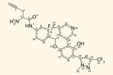 C#CCC(N)C(=O)Nc1ccc(COc2ccc(-c3cc(C(F)(F)F)nn3C)c(O)c2-c2cncc(C(F)(F)F)c2)cc1